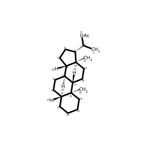 CC(=O)OC(C)[C@H]1CC[C@H]2[C@@H]3CC[C@H]4CCCC[C@]4(C)[C@H]3CC[C@]12C